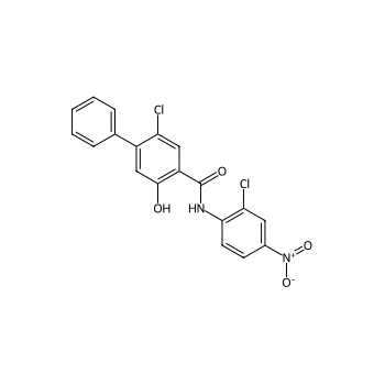 O=C(Nc1ccc([N+](=O)[O-])cc1Cl)c1cc(Cl)c(-c2ccccc2)cc1O